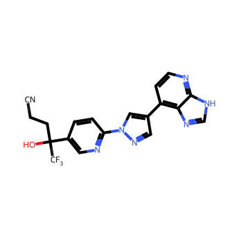 N#CCCC(O)(c1ccc(-n2cc(-c3ccnc4[nH]cnc34)cn2)nc1)C(F)(F)F